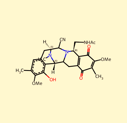 COC1=C(C)C(=O)C2=C(C1=O)[C@H](CNC(C)=O)N1C(C#N)[C@@H]3Cc4cc(C)c(OC)c(O)c4[C@@H](C1C2)N3C